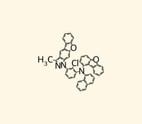 Cc1nn(-c2cccc(N(c3cccc4ccccc34)c3cccc4oc5ccccc5c34)c2Cl)c2cc3oc4ccccc4c3cc12